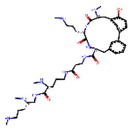 CNCCC[C@@H](CNC(=O)[C@H](CCCNC(=O)CCNC(=O)[C@@H]1Cc2cccc(c2)-c2ccc(O)c(c2)C[C@H](NC)C(=O)N[C@@H](CCCNC)C(=O)N1)NC)NC